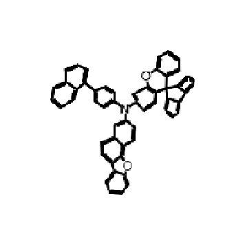 c1ccc2c(c1)Oc1cc(N(c3ccc(-c4cccc5ccccc45)cc3)c3ccc4c(ccc5c6ccccc6oc45)c3)ccc1C21c2ccccc2-c2ccccc21